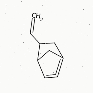 C=CC1CC2=C=CC1C2